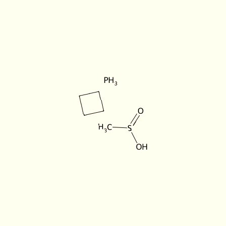 C1CCC1.CS(=O)O.P